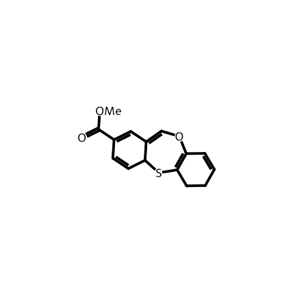 COC(=O)C1=CC2=COC3=C(CCC=C3)SC2C=C1